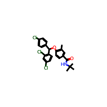 Cc1cc(C(=O)NC(C)(C)C)ccc1OC(c1ccc(Cl)cc1)c1ccc(Cl)cc1Cl